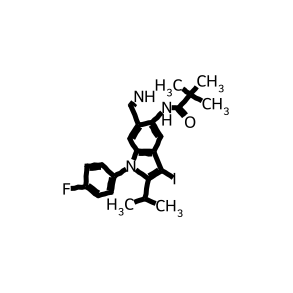 CC(C)c1c(I)c2cc(NC(=O)C(C)(C)C)c(C=N)cc2n1-c1ccc(F)cc1